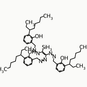 CCCCCC(CC)c1cccc(C/N=N\C([SiH3])=C(/N=N\Cc2cccc(C(CC)CCCCC)c2O)/N=N\Cc2cccc(C(CC)CCCCC)c2O)c1O